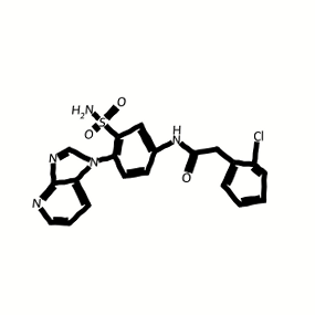 NS(=O)(=O)c1cc(NC(=O)Cc2ccccc2Cl)ccc1-n1cnc2ncccc21